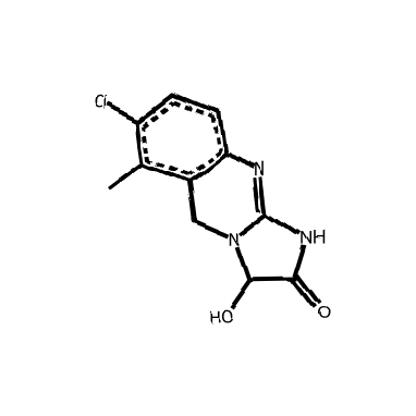 Cc1c(Cl)ccc2c1CN1C(=N2)NC(=O)C1O